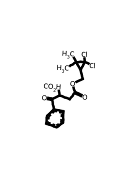 CC1(C)C(COC(=O)CC(C(=O)O)C(=O)c2ccccc2)C1(Cl)Cl